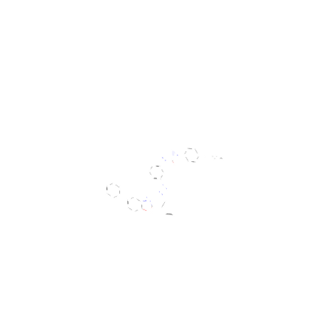 COc1ccc(NC(=O)Nc2cccc(N=NC3=C(c4nc5cc(-c6ccccc6)ccc5o4)C=COC3)c2)cc1